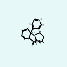 NC(=O)C1C=CC=CC1(c1ccncc1)N1CCCC1